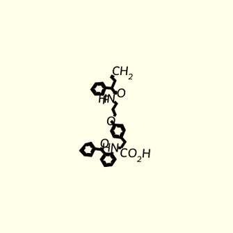 C=CCC(C(=O)NCCCOc1ccc(CC(Nc2ccccc2C(=O)c2ccccc2)C(=O)O)cc1)c1ccccc1F